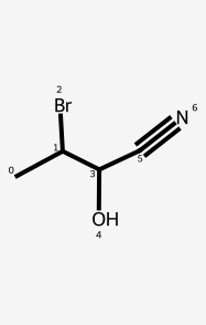 CC(Br)C(O)C#N